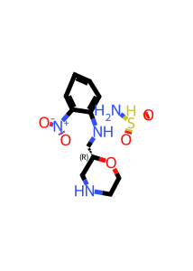 N[SH](=O)=O.O=[N+]([O-])c1ccccc1NC[C@H]1CNCCO1